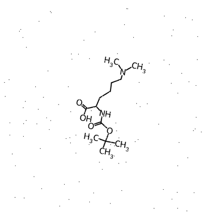 CN(C)CCCCC(NC(=O)OC(C)(C)C)C(=O)O